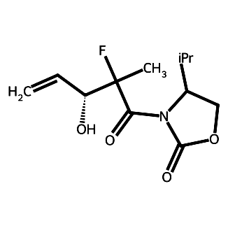 C=C[C@@H](O)C(C)(F)C(=O)N1C(=O)OCC1C(C)C